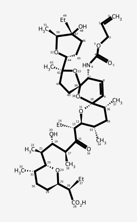 C=CCOC(=O)N[C@@H]1C=C[C@]2(O[C@H]([C@@H](CC)C(=O)[C@@H](C)[C@@H](O)[C@H](C)[C@@H]3O[C@@H]([C@@H](CC)C(=O)O)CC[C@@H]3C)[C@@H](C)C[C@H]2C)O[C@@]12CC[C@@](C)([C@H]1CC[C@](O)(CC)[C@H](C)O1)O2